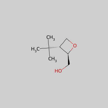 CC(C)(C)[C@@H]1CO[C@H]1CO